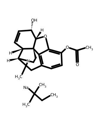 CC(=O)Oc1ccc2c3c1O[C@H]1[C@@H](O)C=C[C@H]4[C@@H](C2)N(C)CC[C@@]341.CC[C](C)(C)[Na]